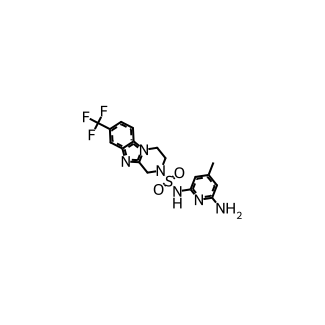 Cc1cc(N)nc(NS(=O)(=O)N2CCn3c(nc4cc(C(F)(F)F)ccc43)C2)c1